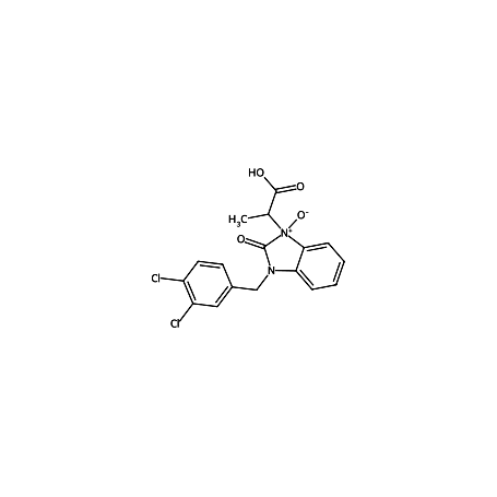 CC(C(=O)O)[N+]1([O-])C(=O)N(Cc2ccc(Cl)c(Cl)c2)c2ccccc21